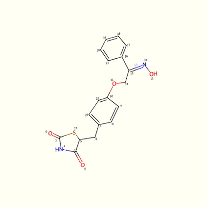 O=C1NC(=O)C(Cc2ccc(OC/C(=N\O)c3ccccc3)cc2)S1